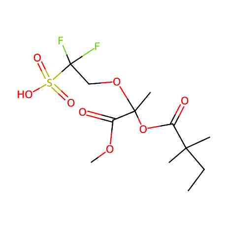 CCC(C)(C)C(=O)OC(C)(OCC(F)(F)S(=O)(=O)O)C(=O)OC